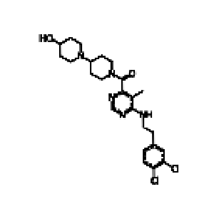 Cc1c(NCCc2ccc(Cl)c(Cl)c2)ncnc1C(=O)N1CCC(N2CCC(O)CC2)CC1